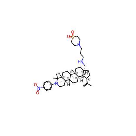 C=C(C)[C@@H]1CC[C@]2(CNCCCN3CCS(=O)(=O)CC3)CC[C@]3(C)[C@H](CC[C@@H]4[C@@]5(C)CCN(c6ccc([N+](=O)[O-])cc6)C(C)(C)[C@@H]5CC[C@]43C)[C@@H]12